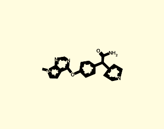 Cn1ccc2c(Oc3ccc(C(C(N)=O)c4ccncc4)cc3)ncnc21